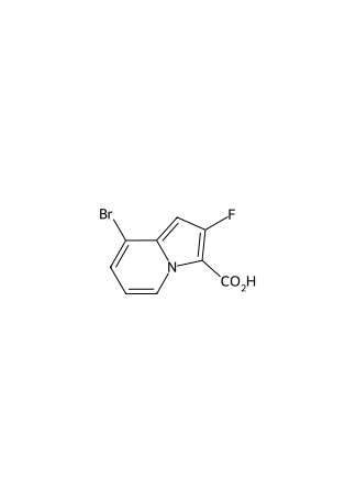 O=C(O)c1c(F)cc2c(Br)cccn12